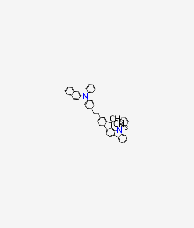 CC1(C)c2cc(/C=C/c3ccc(N(c4ccccc4)c4ccc5ccccc5c4)cc3)ccc2-c2ccc3c4ccccc4n(-c4ccccc4)c3c21